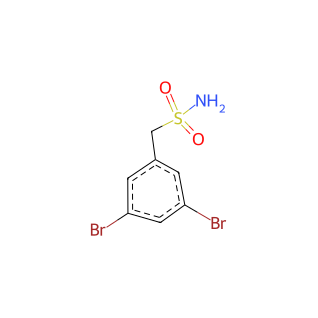 NS(=O)(=O)Cc1cc(Br)cc(Br)c1